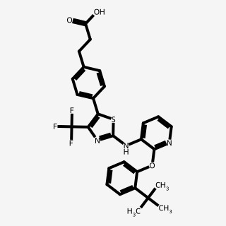 CC(C)(C)c1ccccc1Oc1ncccc1Nc1nc(C(F)(F)F)c(-c2ccc(CCC(=O)O)cc2)s1